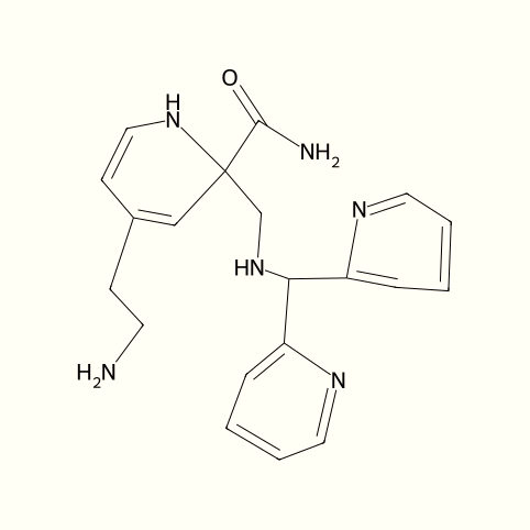 NCCC1=CC(CNC(c2ccccn2)c2ccccn2)(C(N)=O)NC=C1